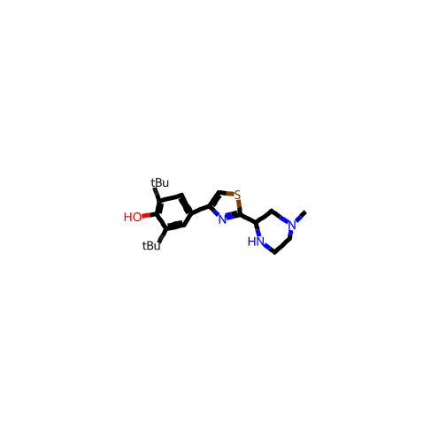 CN1CCNC(c2nc(-c3cc(C(C)(C)C)c(O)c(C(C)(C)C)c3)cs2)C1